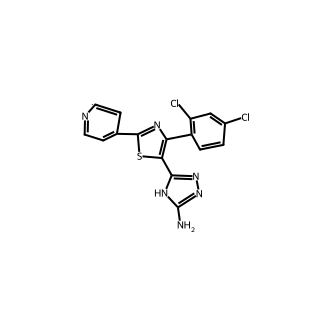 Nc1nnc(-c2sc(-c3c[c]ncc3)nc2-c2ccc(Cl)cc2Cl)[nH]1